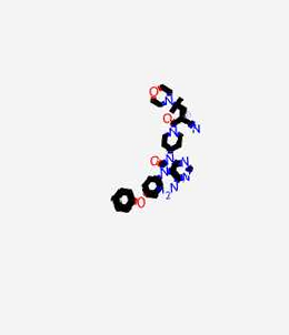 CC(C)(/C=C(/C#N)C(=O)N1CCC(n2c(=O)n(-c3ccc(Oc4ccccc4)cc3)c3c(N)ncnc32)CC1)N1CCOCC1